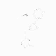 Cc1cccc(Nc2nc(-c3ccncc3C#CCO)cs2)c1